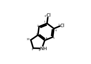 Clc1cc2c(cc1Cl)NCC2